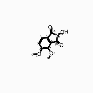 COc1ccc2c(c1OC)C(=O)N(O)C2=O